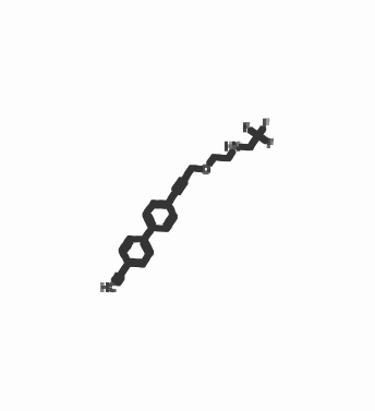 C#Cc1ccc(-c2ccc(C#CCOCCNCC(F)(F)F)cc2)cc1